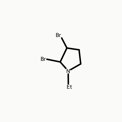 CCN1CCC(Br)C1Br